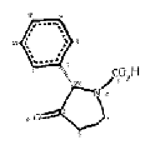 O=C1CCN(C(=O)O)[C@H]1c1ccccc1